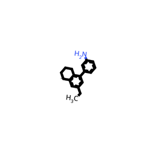 CCc1cc2c(c(-c3cccc(N)c3)c1)CCC[CH]2